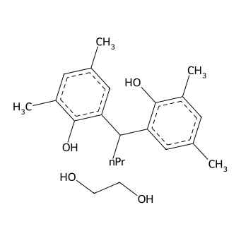 CCCC(c1cc(C)cc(C)c1O)c1cc(C)cc(C)c1O.OCCO